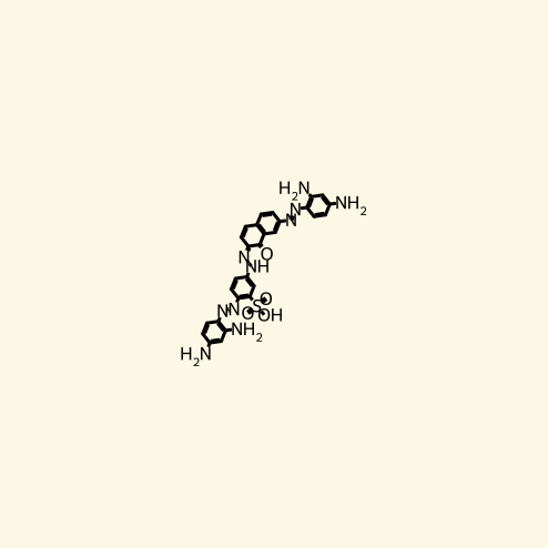 Nc1ccc(/N=N/c2ccc3c(c2)C(=O)/C(=N\Nc2ccc(/N=N/c4ccc(N)cc4N)c(S(=O)(=O)O)c2)C=C3)c(N)c1